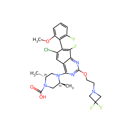 COc1cccc(F)c1-c1c(Cl)cc2c(N3C[C@@H](C)N(C(=O)O)C[C@@H]3C)nc(OCCN3CC(F)(F)C3)nc2c1F